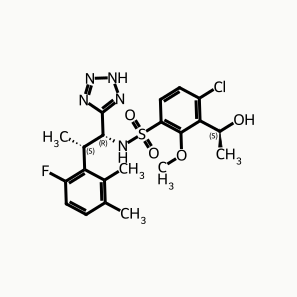 COc1c(S(=O)(=O)N[C@@H](c2nn[nH]n2)[C@@H](C)c2c(F)ccc(C)c2C)ccc(Cl)c1[C@H](C)O